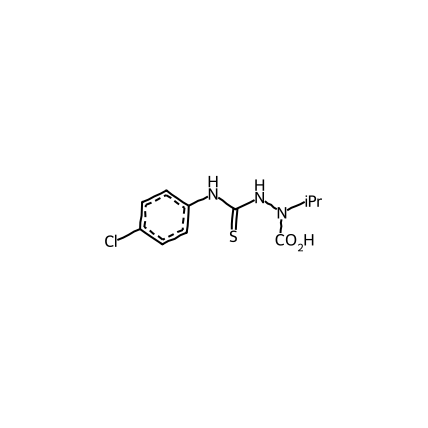 CC(C)N(NC(=S)Nc1ccc(Cl)cc1)C(=O)O